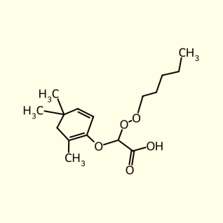 CCCCCOOC(OC1=C(C)CC(C)(C)C=C1)C(=O)O